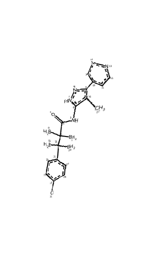 BC(B)(C(=O)Nc1[nH]nc(-c2ccnnc2)c1C)C(B)(B)c1ccc(Cl)cc1